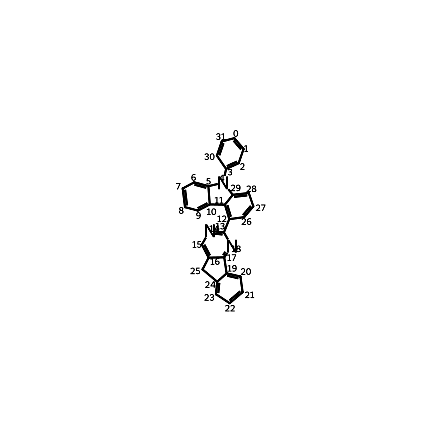 c1ccc(-n2c3ccccc3c3c(-c4ncc5c(n4)-c4ccccc4C5)cccc32)cc1